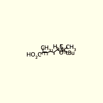 CC(=CCCCO[Si](C)(C)C(C)(C)C)C(=O)O